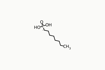 CCCCCCC[CH]P(=O)(O)O